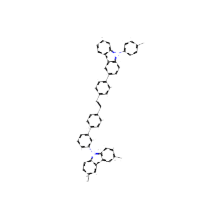 Cc1ccc(-n2c3ccccc3c3cc(-c4ccc(/C=C/c5ccc(-c6cccc(-n7c8ccc(C)cc8c8cc(C)ccc87)c6)cc5)cc4)ccc32)cc1